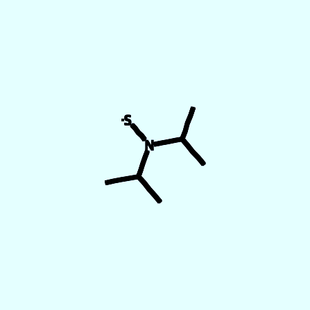 CC(C)N([S])C(C)C